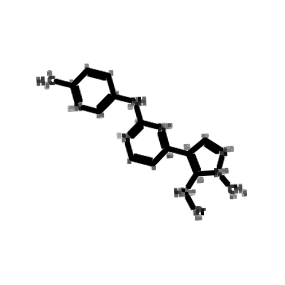 Cc1ccc(Nc2nccc(-c3cnn(C)c3NC(C)C)n2)cn1